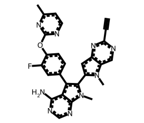 C#Cc1ncc2c(cc(-c3c(-c4ccc(Oc5nccc(C)n5)c(F)c4)c4c(N)ncnc4n3C)n2C)n1